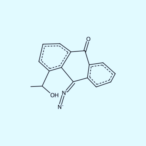 CC(O)c1cccc2c1C(=[N+]=[N-])c1ccccc1C2=O